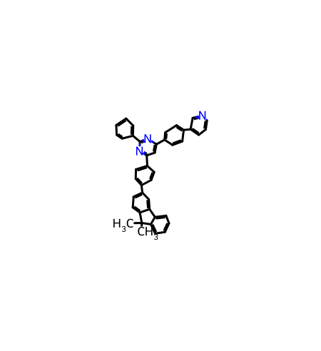 CC1(C)c2ccccc2-c2cc(-c3ccc(-c4cc(-c5ccc(-c6cccnc6)cc5)nc(-c5ccccc5)n4)cc3)ccc21